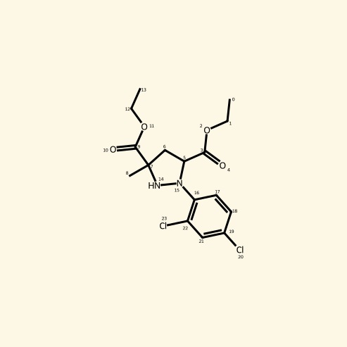 CCOC(=O)C1CC(C)(C(=O)OCC)NN1c1ccc(Cl)cc1Cl